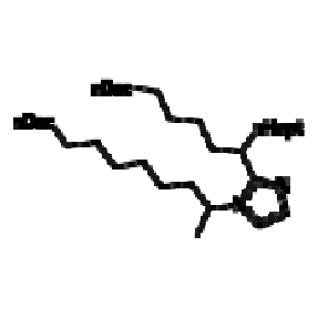 CCCCCCCCCCCCCCCCC(C)n1ccnc1C(CCCCCCC)CCCCCCCCCCCCCC